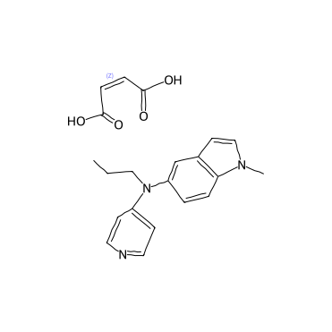 CCCN(c1ccncc1)c1ccc2c(ccn2C)c1.O=C(O)/C=C\C(=O)O